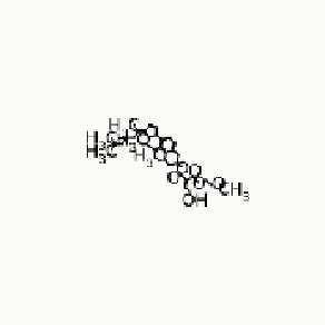 COCCOC(=O)C(CCO)C(=O)OC1CC[C@@]2(C)C(=CCC3C2CC[C@@]2(C)C3CC[C@@H]2[C@H](C)CCCC(C)C)C1